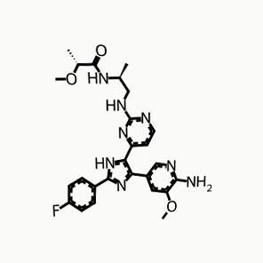 COc1cc(-c2nc(-c3ccc(F)cc3)[nH]c2-c2ccnc(NC[C@H](C)NC(=O)[C@@H](C)OC)n2)cnc1N